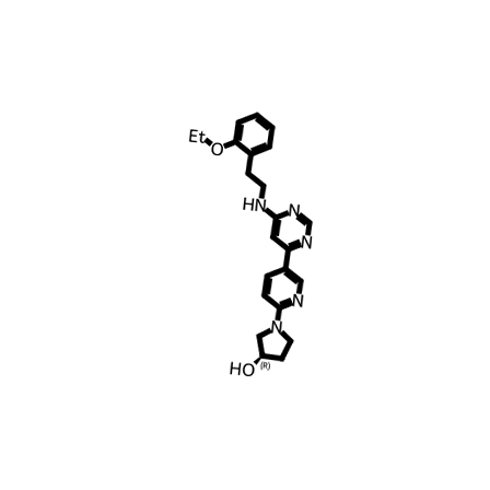 CCOc1ccccc1CCNc1cc(-c2ccc(N3CC[C@@H](O)C3)nc2)ncn1